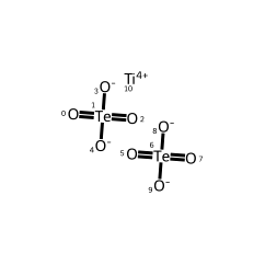 O=[Te](=O)([O-])[O-].O=[Te](=O)([O-])[O-].[Ti+4]